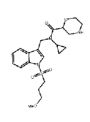 COCCCS(=O)(=O)n1cc(CN(C(=O)C2CNCCO2)C2CC2)c2ccccc21